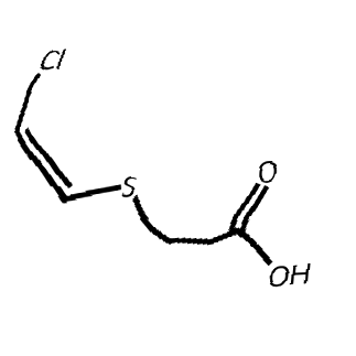 O=C(O)CS/C=C\Cl